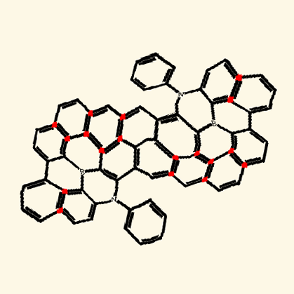 c1ccc(-c2cccc(-c3ccccc3)c2B2c3ccccc3N(c3ccccc3)c3c2c(-c2ccccc2)c2ccc4c5c(c(-c6ccccc6)c6ccc3c2c64)B(c2c(-c3ccccc3)cccc2-c2ccccc2)c2ccccc2N5c2ccccc2)cc1